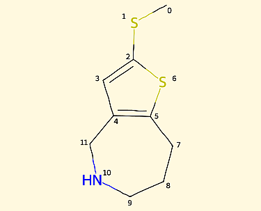 CSc1cc2c(s1)CCCNC2